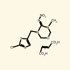 CN1COCN(Cc2cnc(Cl)s2)C1=N[N+](=O)[O-].O=C(O)/C=C/C(=O)O